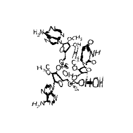 CO[C@@H]1[C@H](OP(O)(=S)OC[C@H]2O[C@@H](n3cnc4c(N)ncnc43)[C@H](OC)[C@@H]2OP(O)(=S)OC[C@H]2O[C@@H](n3cnc4c(N)ncnc43)[C@H](OC)[C@@H]2O)[C@@H](CO)O[C@H]1n1ccc(=O)[nH]c1=O